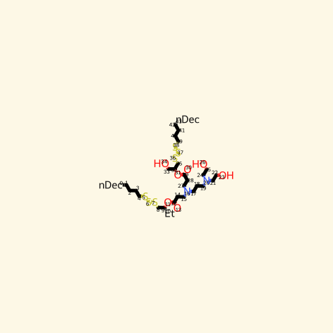 CCCCCCCCCCCCCCSSSCC(CC)OC(=O)CCN(CCCN(CCO)CCO)CCC(=O)OC(CO)CSSSCCCCCCCCCCCCCC